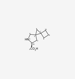 O=C(O)[C@@H]1CC2(CN1)CC21CCC1